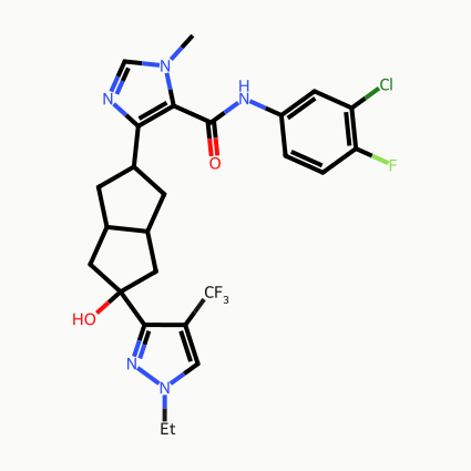 CCn1cc(C(F)(F)F)c(C2(O)CC3CC(c4ncn(C)c4C(=O)Nc4ccc(F)c(Cl)c4)CC3C2)n1